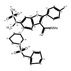 CNC(=O)c1c(-c2ccc(F)cc2)oc2cc(N(C)S(C)(=O)=O)c([C@H]3CCCN(S(=O)(=O)Cc4ccccc4)C3)cc12